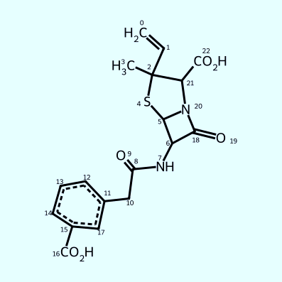 C=CC1(C)SC2C(NC(=O)Cc3cccc(C(=O)O)c3)C(=O)N2C1C(=O)O